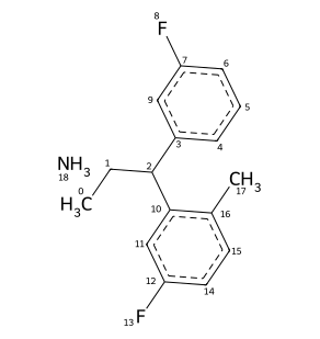 CCC(c1cccc(F)c1)c1cc(F)ccc1C.N